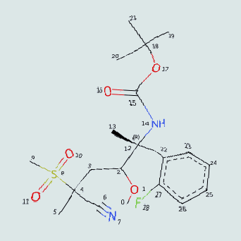 COC(CC(C)(C#N)S(C)(=O)=O)[C@](C)(NC(=O)OC(C)(C)C)c1ccccc1F